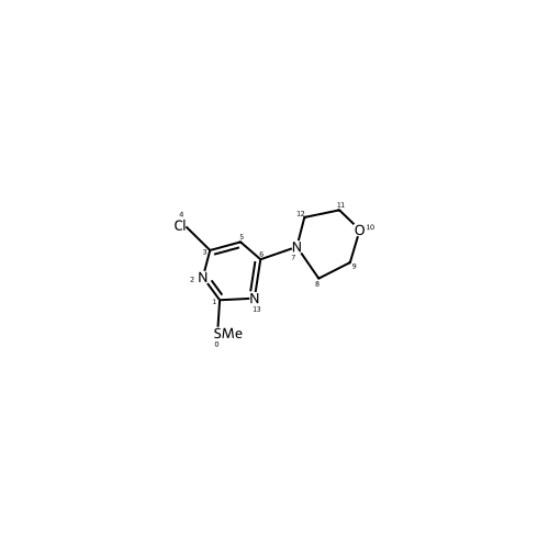 CSc1nc(Cl)cc(N2CCOCC2)n1